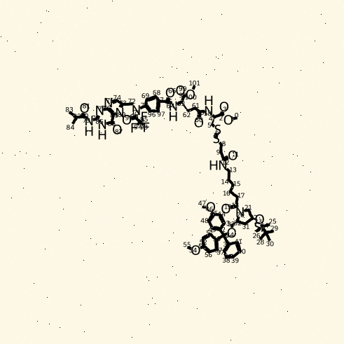 COC(=O)[C@@H](CSSCCC(=O)NCCCCCC(=O)N1C[C@H](O[Si](C)(C)C(C)(C)C)C[C@H]1COC(c1ccccc1)(c1ccc(OC)cc1)c1ccc(OC)cc1)NC(=O)CC[C@@H](NC(=O)c1ccc(N(Cc2cnc3nc(NC(=O)C(C)C)[nH]c(=O)c3n2)C(=O)C(F)(F)F)cc1)C(=O)OC